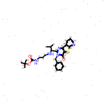 CC(C)C(NCCCNC(=O)OC(C)(C)C)c1nc2c(sc3ncccc32)c(=O)n1Cc1ccccc1